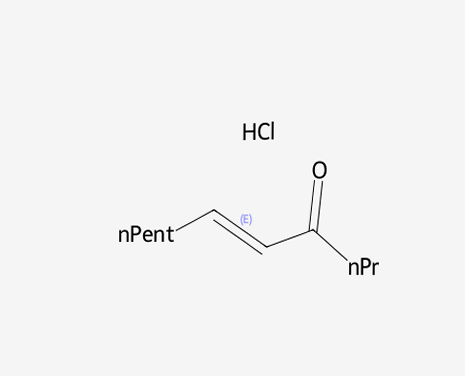 CCCCC/C=C/C(=O)CCC.Cl